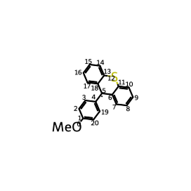 COc1ccc([C]2c3ccccc3Sc3ccccc32)cc1